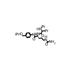 CC(C)NC(C(=O)N[C@@H](CCCNC(N)=O)C(=O)Nc1ccc(COC(C)C)cc1)C(C)C